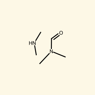 CN(C)C=O.CNC